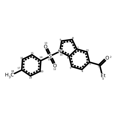 CCC(=O)c1ccc2c(ccn2S(=O)(=O)c2ccc(C)cc2)c1